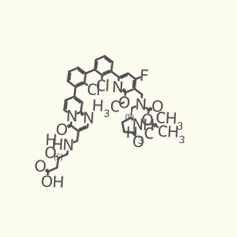 COc1nc(-c2cccc(-c3cccc(-c4ccn5c(=O)c(CNC[C@@H](O)CC(=O)O)cnc5c4)c3Cl)c2Cl)cc(F)c1CN(C[C@@H]1CCC(=O)N1)C(=O)OC(C)(C)C